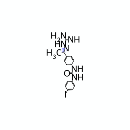 C/C(=N\NC(=N)N)c1ccc(NC(=O)Nc2ccc(I)cc2)cc1